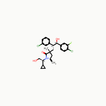 C=CC[C@@](C)(C[C@H](c1cccc(Cl)c1)[C@@H](O)c1ccc(Cl)c(F)c1)C(=O)N[C@H](CO)C1CC1